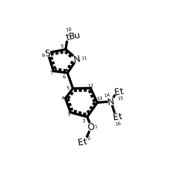 CCOc1ccc(-c2csc(C(C)(C)C)n2)cc1N(CC)CC